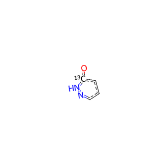 O=[13c]1cccn[nH]1